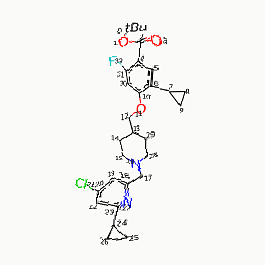 CC(C)(C)OC(=O)c1cc(C2CC2)c(OCC2CCN(Cc3cc(Cl)cc(C4CC4)n3)CC2)cc1F